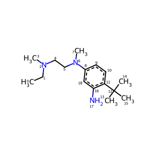 CCN(C)CCN(C)c1ccc(C(C)(C)C)c(N)c1